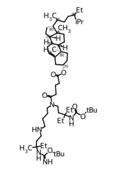 CC[C@H](CC[C@@H](C)[C@H]1CC[C@H]2[C@@H]3CC=C4C[C@@H](OC(=O)CCCC(=O)N(CCCCNCCC(C)(CC)NC(=N)OC(C)(C)C)CCC(CC)(CC)NC(=O)OC(C)(C)C)CC[C@]4(C)[C@H]3CC[C@]12C)C(C)C